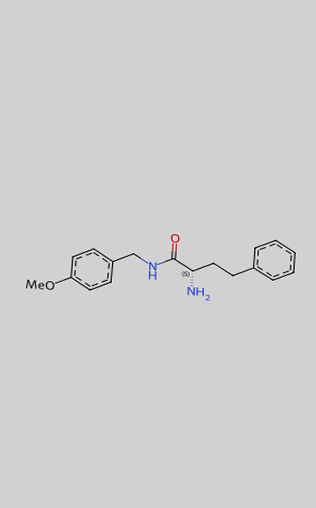 COc1ccc(CNC(=O)[C@@H](N)CCc2ccccc2)cc1